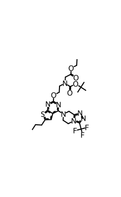 CCCc1cc2c(N3CCn4c(nnc4C(F)(F)F)C3)nc(OCCN(CC(=O)OCC)C(=O)OC(C)(C)C)nc2s1